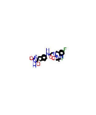 CN1C(=O)NC(=O)[C@@]12Cc1ccc(NC(=O)CN(Cc3cc(F)cc(F)c3)C(=O)NC(C)(C)C)cc1C2